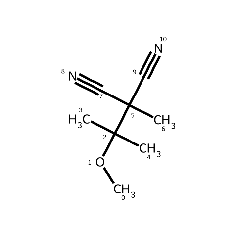 COC(C)(C)C(C)(C#N)C#N